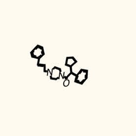 O=C(C(c1ccccc1)C1CCCC1)N1CCN(C/C=C/c2ccccc2)CC1